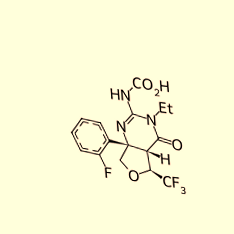 CCN1C(=O)[C@@H]2[C@@H](C(F)(F)F)OC[C@]2(c2ccccc2F)N=C1NC(=O)O